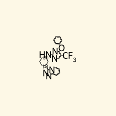 FC(F)(F)c1cnc(N[C@@H]2CCC[C@H](c3nnc4ccccn34)C2)nc1Oc1ccccc1